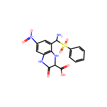 NC(c1cc([N+](=O)[O-])cc2c1NC(C(=O)O)C(=O)N2)S(=O)(=O)c1ccccc1